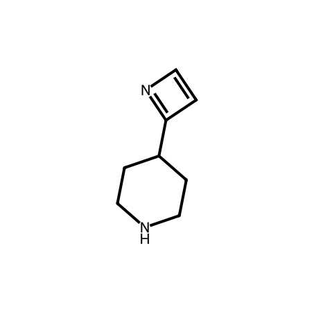 C1=CC(C2CCNCC2)=N1